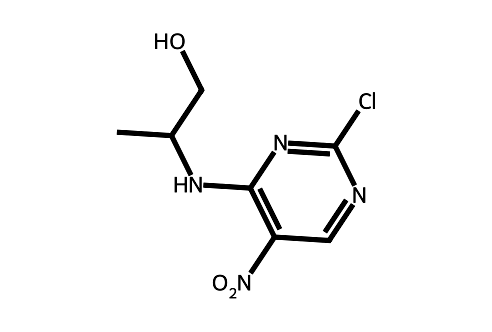 CC(CO)Nc1nc(Cl)ncc1[N+](=O)[O-]